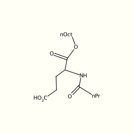 CCCCCCCCOC(=O)C(CCC(=O)O)NC(=O)CCC